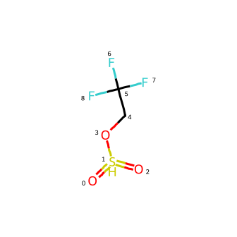 O=[SH](=O)OCC(F)(F)F